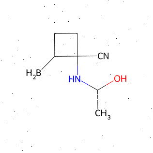 BC1CCC1(C#N)NC(C)O